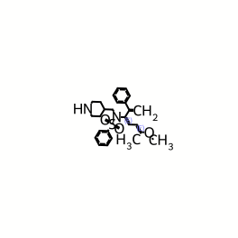 C=C(/C(=C\C=C(/C)OC)N(CC1CCNCC1)S(=O)(=O)c1ccccc1)c1ccccc1